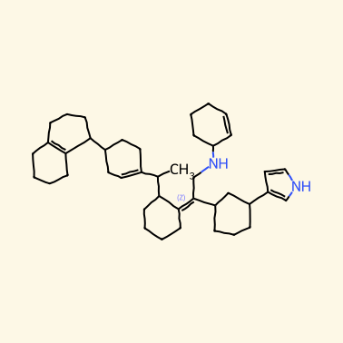 CC(C1=CCC(C2CCCC3=C2CCCC3)CC1)C1CCCC/C1=C(/CNC1C=CCCC1)C1CCCC(c2cc[nH]c2)C1